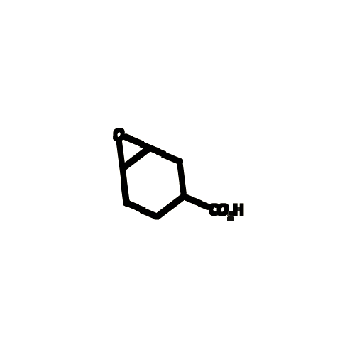 O=C(O)C1CCC2OC2C1